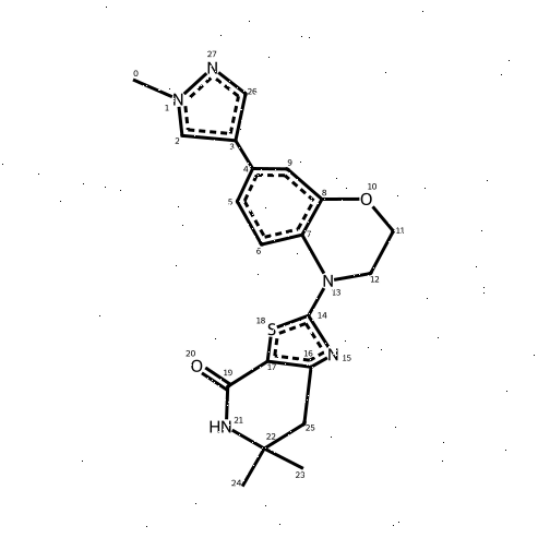 Cn1cc(-c2ccc3c(c2)OCCN3c2nc3c(s2)C(=O)NC(C)(C)C3)cn1